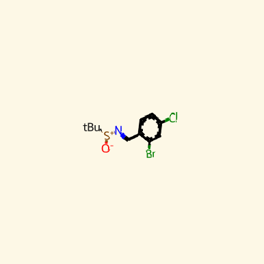 CC(C)(C)[S@@+]([O-])/N=C/c1ccc(Cl)cc1Br